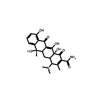 CC1=C(C(N)=O)C(=O)[C@@]2(O)C(O)=C3C(=O)c4c(O)cccc4[C@@](C)(O)C3CC2C1N(C)C